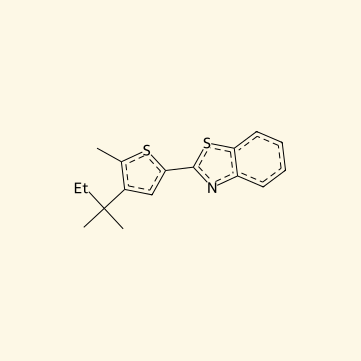 CCC(C)(C)c1cc(-c2nc3ccccc3s2)sc1C